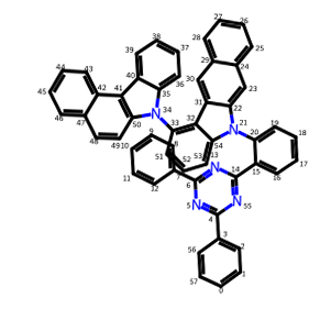 c1ccc(-c2nc(-c3ccccc3)nc(-c3ccccc3-n3c4cc5ccccc5cc4c4c(-n5c6ccccc6c6c7ccccc7ccc65)cccc43)n2)cc1